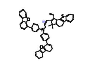 C=CC1=C(/C=C\CN(c2ccc(C3=CCCc4c3oc3c4CCC=C3)cc2)c2ccc(-c3cccc4c3oc3ccccc34)cc2)C(C)(C)C2=C1c1sc3ccccc3c1CC2